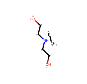 OCCNCCO.[CH3][K]